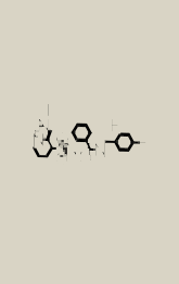 CN(Cc1ccc(F)cc1F)C(=O)c1ccccc1NS(=O)(=O)C1=CC=CN2SNC=C12